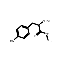 CC(=O)N[C@H](Cc1ccc(O)cc1)C(=O)NN